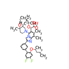 C=CCOC1(C)CCN(c2c(C(OC(C)(C)C)C(=O)O)c(C)c(C)c3nc(-c4cccc(-c5cc(F)c(F)cc5OC(C)CC=C)c4)cn23)CC1